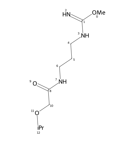 COC(=N)NCCCNC(=O)COC(C)C